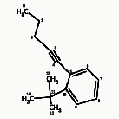 CCCC#Cc1ccccc1C(C)(C)C